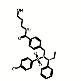 CC[C@@H](c1ccccc1)N(Cc1ccc(C(=O)NCCCO)cc1)S(=O)(=O)c1ccc(Cl)cc1